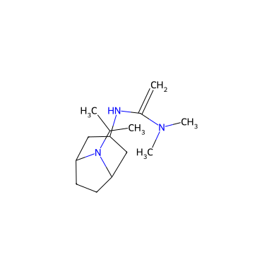 C=C(NC1CC2CCC(C1)N2C(C)C)N(C)C